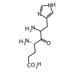 NC(Cc1c[nH]cn1)C(=O)[C@@H](N)CCC(=O)O